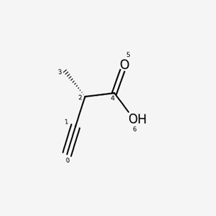 C#C[C@H](C)C(=O)O